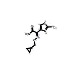 NC(=O)/C(=N\OCC1CC1)c1csc(N)n1